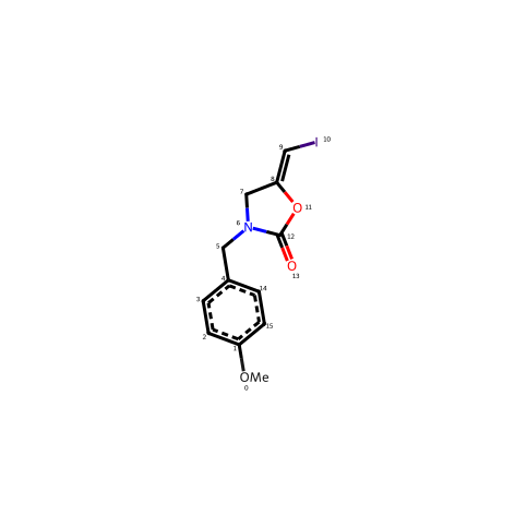 COc1ccc(CN2CC(=CI)OC2=O)cc1